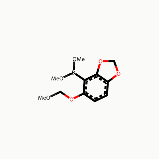 COCOc1ccc2c(c1B(OC)OC)OCO2